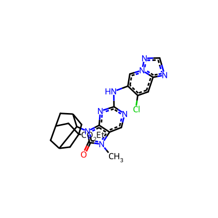 CCOC(=O)C12CC3CC(C1)C(n1c(=O)n(C)c4cnc(Nc5cn6ncnc6cc5Cl)nc41)C(C3)C2